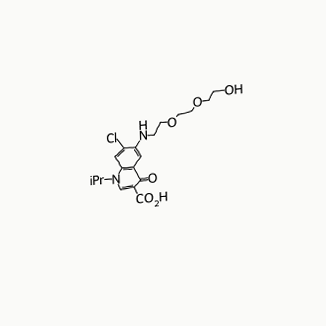 CC(C)n1cc(C(=O)O)c(=O)c2cc(NCCOCCOCCO)c(Cl)cc21